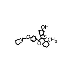 CC1CCCCC1c1sc2cc(O)ccc2c1C(=O)c1ccc(OCCN2CCCCC2)cc1